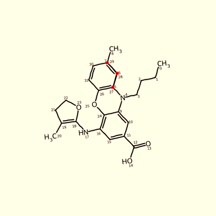 CCCCN(CCCC)c1cc(C(=O)O)cc(NC2=C(C)CCO2)c1Oc1ccccc1